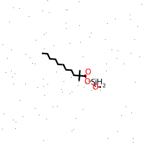 CCCCCCCCCC(C)(C)C(=O)O[SiH2]OC